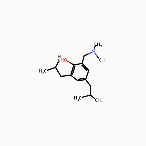 CC(C)Cc1cc(CC(C)C)c(O)c(CN(C)C)c1